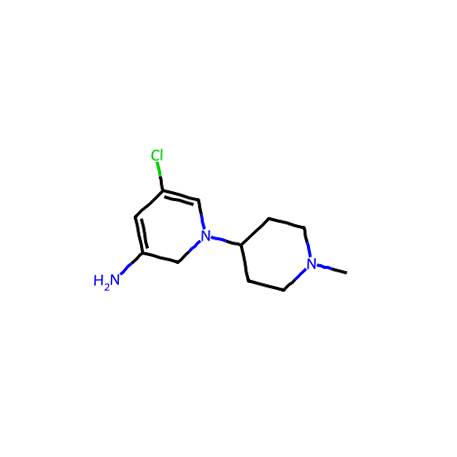 CN1CCC(N2C=C(Cl)C=C(N)C2)CC1